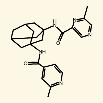 Cc1cc(C(=O)NC23CC4CC(C2)CC(NC(=O)c2cncc(C)n2)(C4)C3)ccn1